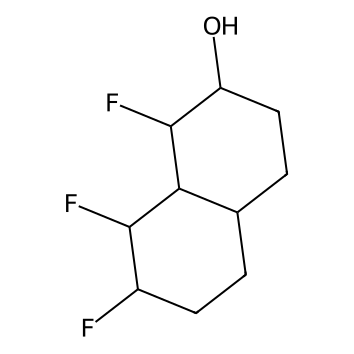 OC1CCC2CCC(F)C(F)C2C1F